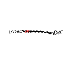 CCCCCCCCCCCCCCCCCCCCC[CH]OCCCCCCCCCCCCC